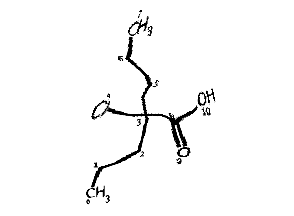 CCCC(Cl)(CCC)C(=O)O